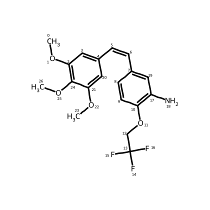 COc1cc(/C=C\c2ccc(OCC(F)(F)F)c(N)c2)cc(OC)c1OC